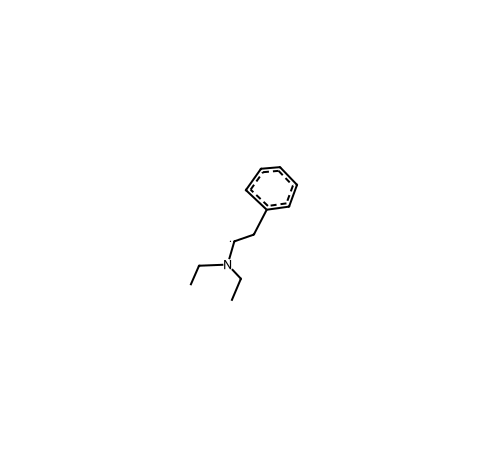 CCN([CH]Cc1ccccc1)CC